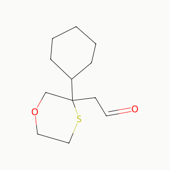 O=CCC1(C2CCCCC2)COCCS1